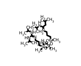 CC(C)C/C(=N\CCC[Si](C)(C)O[Si](C)(C)O[Si](C)(C)CCCN=C(NC(C)C)NC(C)C)NC(C)C